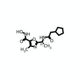 Cc1nc([C@H](C)NC(=O)CC2CCCC2)oc1C(=O)NO